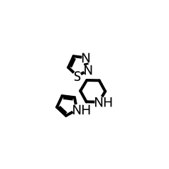 C1CCNCC1.c1cc[nH]c1.c1csnn1